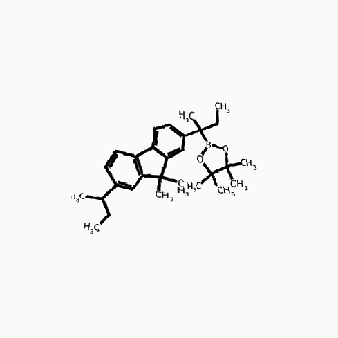 CCC(C)c1ccc2c(c1)C(C)(C)c1cc(C(C)(CC)B3OC(C)(C)C(C)(C)O3)ccc1-2